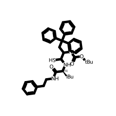 CCC(C)[C@H](NC(S)C(CC(c1ccccc1)(c1ccccc1)c1ccccc1)NC(=O)OC(C)(C)C)C(=O)NCCc1ccccc1